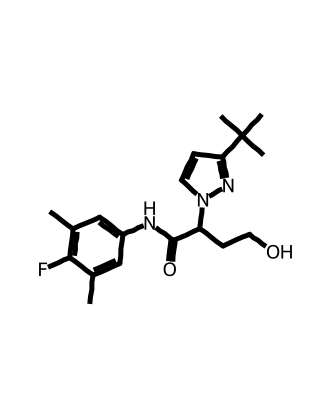 Cc1cc(NC(=O)C(CCO)n2ccc(C(C)(C)C)n2)cc(C)c1F